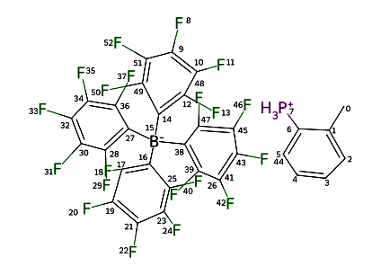 Cc1ccccc1[PH3+].Fc1c(F)c(F)c([B-](c2c(F)c(F)c(F)c(F)c2F)(c2c(F)c(F)c(F)c(F)c2F)c2c(F)c(F)c(F)c(F)c2F)c(F)c1F